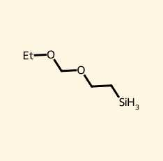 CCOCOCC[SiH3]